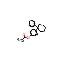 COC(=O)Oc1ccc(C2(c3ccccc3)CCCCC2)cc1